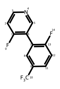 Fc1ccncc1-c1cc(C(F)(F)F)ccc1F